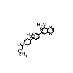 C=C(/C=C\C(=C/C)c1cc2nccnc2c(N)n1)C1CCN(C(=O)COC)CC1